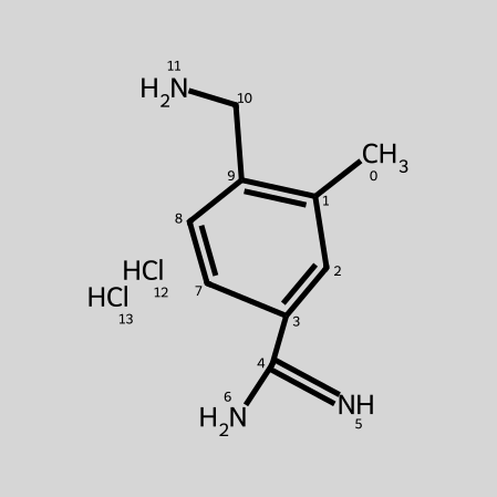 Cc1cc(C(=N)N)ccc1CN.Cl.Cl